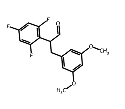 COc1cc(CC(C=O)c2c(F)cc(F)cc2F)cc(OC)c1